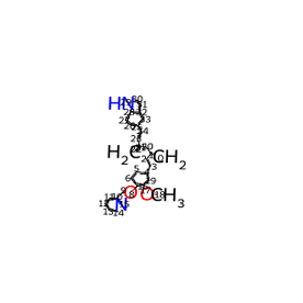 C=C(/C=C/c1ccc(OCc2ccccn2)c(OC)c1)CC(=C)/C=C/c1ccc2[nH]ccc2c1